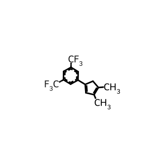 CC1=C(C)CC(c2cc(C(F)(F)F)cc(C(F)(F)F)c2)=C1